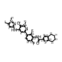 Cc1cc(Nc2cc(-c3ccc(F)c(NC(=O)c4cc5c(s4)CCCC5)c3F)nn(C)c2=O)nn1C